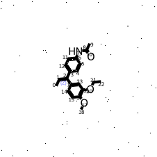 C/C=C(/c1ccc(NC(C)=O)cc1)c1ccc(OC)c(OCC)c1